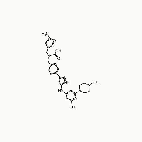 Cc1nc(Nc2cc(-c3ccc(CN(Cc4cc(C)on4)C(=O)O)cc3)n[nH]2)cc(N2CCN(C)CC2)n1